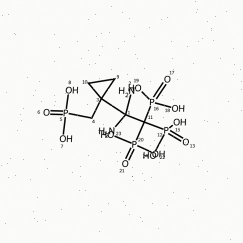 NC(N)(C1(CP(=O)(O)O)CC1)C(P(=O)(O)O)(P(=O)(O)O)P(=O)(O)O